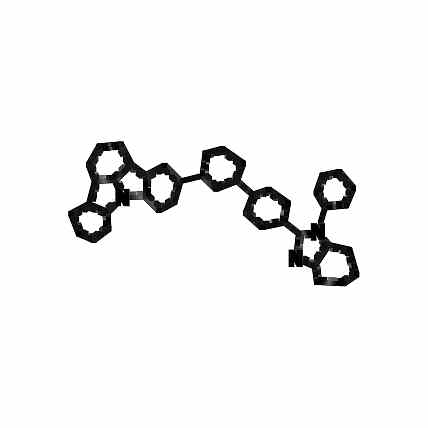 c1ccc(-n2c(-c3ccc(-c4cccc(-c5ccc6c(c5)c5cccc7c8ccccc8n6c75)c4)cc3)nc3ccccc32)cc1